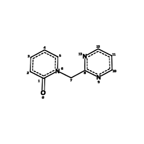 O=c1ccccn1Cc1ncccn1